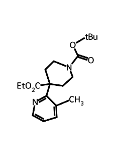 CCOC(=O)C1(c2ncccc2C)CCN(C(=O)OC(C)(C)C)CC1